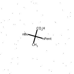 CCCCCC(C)(CCCC)C(=O)O